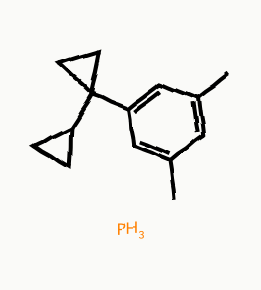 Cc1cc(C)cc(C2(C3CC3)CC2)c1.P